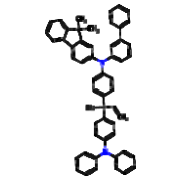 C=CC(c1ccc(N(c2ccccc2)c2ccccc2)cc1)(c1ccc(N(c2cccc(-c3ccccc3)c2)c2ccc3c(c2)C(C)(C)c2ccccc2-3)cc1)C(C)CC